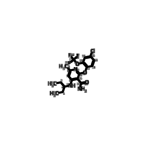 CCC(CC)Nc1cc(C)nc(Oc2ccc(Cl)cc2OC(F)(F)F)c1C(N)=O